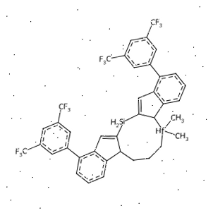 [CH3][Hf]1([CH3])[CH2]CCC2C(=Cc3c(-c4cc(C(F)(F)F)cc(C(F)(F)F)c4)cccc32)[SiH2]C2=Cc3c(-c4cc(C(F)(F)F)cc(C(F)(F)F)c4)cccc3[CH]21